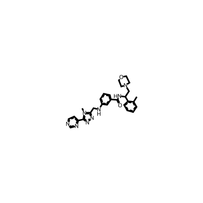 Cc1ccccc1C(CN1CCOCC1)NC(=O)c1cccc(NCc2nnc(-c3ccncn3)n2C)c1